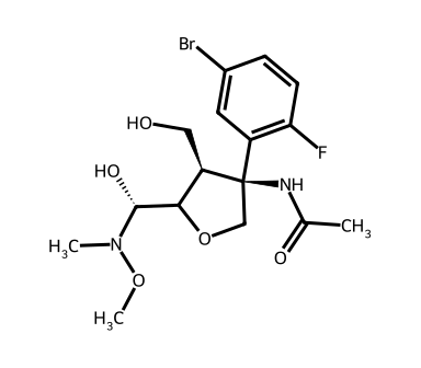 CON(C)[C@H](O)C1OC[C@@](NC(C)=O)(c2cc(Br)ccc2F)[C@@H]1CO